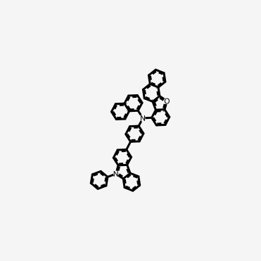 c1ccc(-n2c3ccccc3c3cc(-c4ccc(N(c5cccc6ccccc56)c5cccc6oc7c8ccccc8ccc7c56)cc4)ccc32)cc1